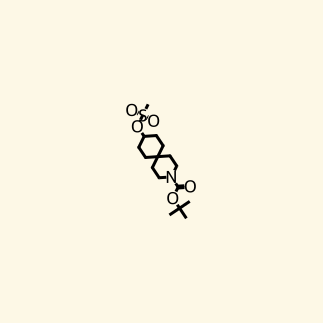 CC(C)(C)OC(=O)N1CCC2(CCC(OS(C)(=O)=O)CC2)CC1